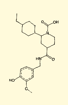 CCC1CCC(C2CC(C(=O)NCc3ccc(O)c(OC)c3)CCN2C(=O)O)CC1